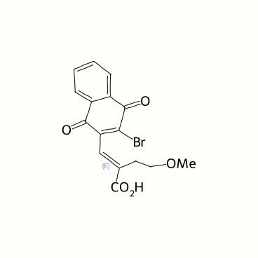 COCC/C(=C\C1=C(Br)C(=O)c2ccccc2C1=O)C(=O)O